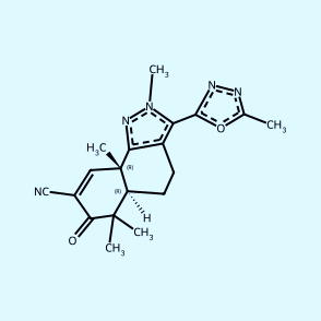 Cc1nnc(-c2c3c(nn2C)[C@@]2(C)C=C(C#N)C(=O)C(C)(C)[C@@H]2CC3)o1